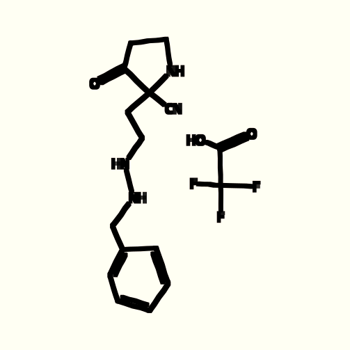 N#CC1(CCNNCc2ccccc2)NCCC1=O.O=C(O)C(F)(F)F